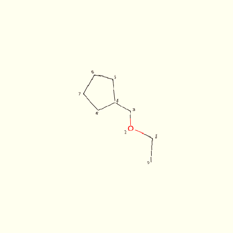 CCOC[C]1CCCC1